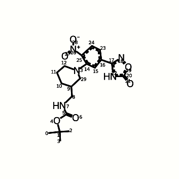 CC(C)(C)OC(=O)NCC1CCCN(c2cc(-c3noc(=O)[nH]3)ccc2[N+](=O)[O-])C1